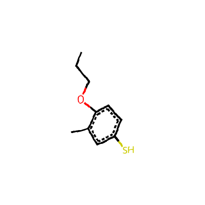 CCCOc1ccc(S)cc1C